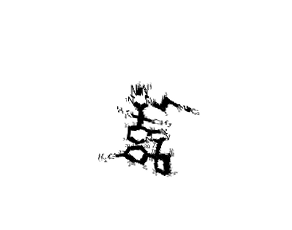 [C-]#[N+]CCn1nnnc1C(C)(C)c1cccn2c(C3(c4ccc(C)cc4)CCC3)nnc12